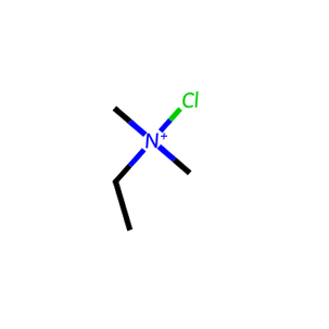 CC[N+](C)(C)Cl